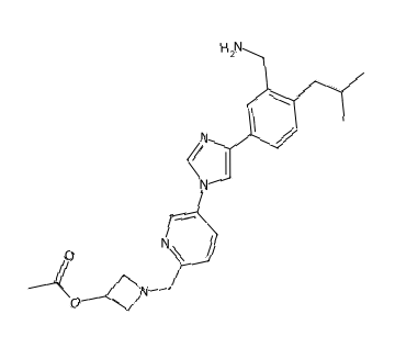 CC(=O)OC1CN(Cc2ccc(-n3cnc(-c4ccc(CC(C)C)c(CN)c4)c3)cn2)C1